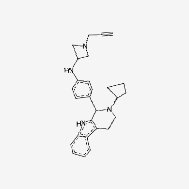 C#CCN1CC(Nc2ccc(C3c4[nH]c5ccccc5c4CCN3C3CCC3)cc2)C1